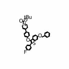 CC(C)(C)OC(=O)N1CC=C(c2ccc(Oc3c(-c4ccc(F)cc4)sc4cc(OCc5ccccc5)ccc34)cc2)CC1